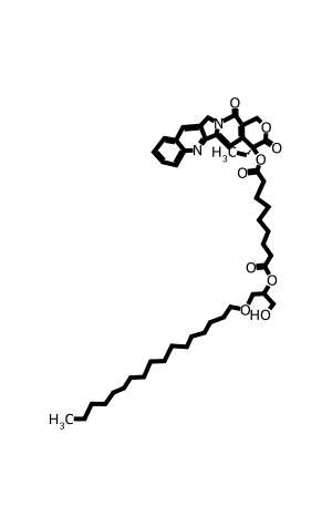 CCCCCCCCCCCCCCCCCOCC(CO)OC(=O)CCCCCCCC(=O)O[C@]1(CC)C(=O)OCc2c1cc1n(c2=O)Cc2cc3ccccc3nc2-1